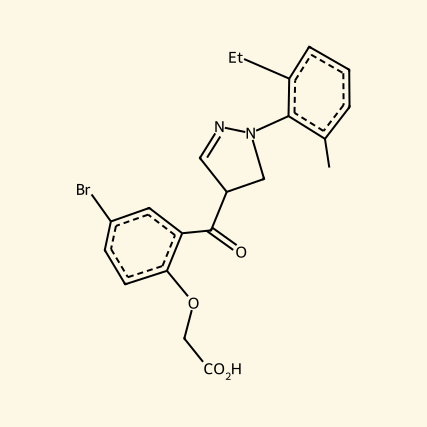 CCc1cccc(C)c1N1CC(C(=O)c2cc(Br)ccc2OCC(=O)O)C=N1